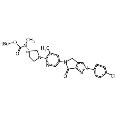 Cc1cc(N2Cc3cn(-c4ccc(Cl)cc4)nc3C2=O)cnc1N1CC[C@H](N(C)C(=O)OC(C)(C)C)C1